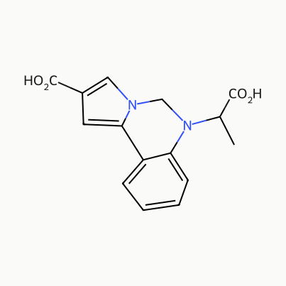 CC(C(=O)O)N1Cn2cc(C(=O)O)cc2-c2ccccc21